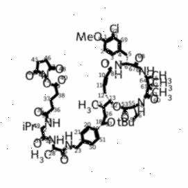 COc1ccc(C[C@H]2NC(=O)C=CC[C@@H]([C@H](C)[C@H]3O[C@@H]3c3ccc(CNC(=O)[C@H](C)NC(=O)[C@@H](NC(=O)CCCC(=O)ON4C(=O)CCC4=O)C(C)C)cc3)OC(=O)[C@H](CC(C)(C)C)NC(=O)C(C)(C)C(C)NC2=O)cc1Cl